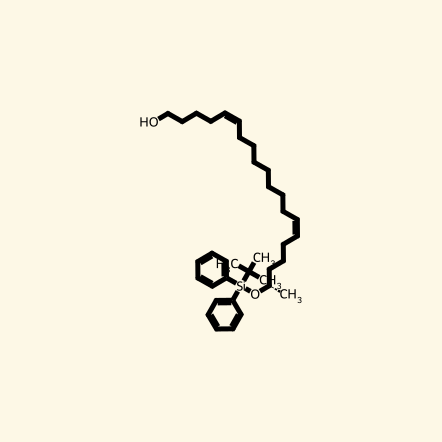 C[C@@H](CCC/C=C\CCCCCCC/C=C\CCCCO)O[Si](c1ccccc1)(c1ccccc1)C(C)(C)C